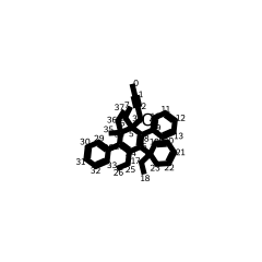 CC#CC(=O)C1(CC)C(c2ccccc2)=C(C2(CC)C=CC=CC2)C(CC)=C(c2ccccc2)C1(C)CC